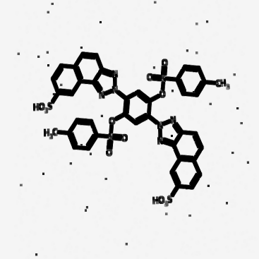 Cc1ccc(S(=O)(=O)Oc2cc(-n3nc4ccc5ccc(S(=O)(=O)O)cc5c4n3)c(OS(=O)(=O)c3ccc(C)cc3)cc2-n2nc3ccc4ccc(S(=O)(=O)O)cc4c3n2)cc1